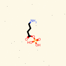 NCCCC(=O)OP(=O)(O)O